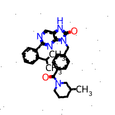 CC1CCCN(C(=O)c2ccc(Cn3c(=O)[nH]c4cnc(-c5ccccc5C(C)C)nc43)cc2)C1